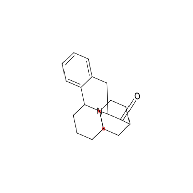 O=C1C2CCN(CC2)C1Cc1ccccc1C1CCCCC1